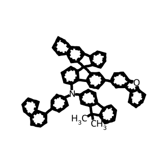 CC1(C)c2ccccc2-c2ccc(N(c3ccc(-c4cccc5ccccc45)cc3)c3cccc4c3-c3ccc(-c5ccc6oc7ccccc7c6c5)cc3C43c4ccccc4-c4cc5ccccc5cc43)cc21